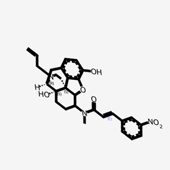 C=CCN1CC[C@]23c4c5ccc(O)c4OC2C(N(C)C(=O)/C=C/c2cccc([N+](=O)[O-])c2)CC[C@@]3(O)[C@H]1C5